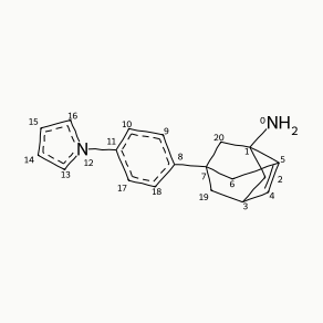 NC12CC3C=C1CC(c1ccc(-n4cccc4)cc1)(C3)C2